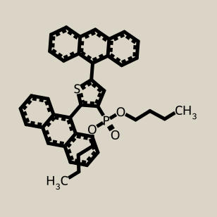 CCCCOP(=O)(OCCCC)c1cc(-c2c3ccccc3cc3ccccc23)sc1-c1c2ccccc2cc2ccccc12